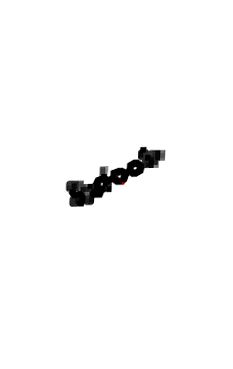 C/C=C(\C=C/C(CC)c1nc2cc(O[C@@H]3COC(CO)C3)[nH]c2cc1F)C1=CC[C@@H](NC(O)OC)CC1